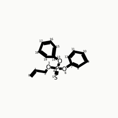 C=CCOP(=S)(Oc1ccccc1)Oc1ccccc1